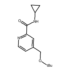 CC(C)(C)OCc1ccnc(C(=O)NC2CC2)c1